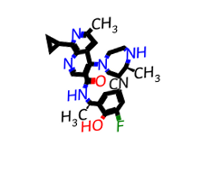 Cc1cc2c(N3CCN[C@@H](C)CC3)c(C(=O)N[C@@H](C)c3cc(C#N)cc(F)c3O)cnc2c(C2CC2)n1